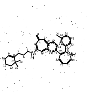 C=C1C=C(NCCCC2=CCCCC2(C)C)C=c2nc(C3=C(c4cccc(C)n4)NC=CC=C3)ccc2=C1